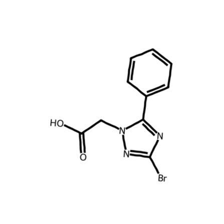 O=C(O)Cn1nc(Br)nc1-c1ccccc1